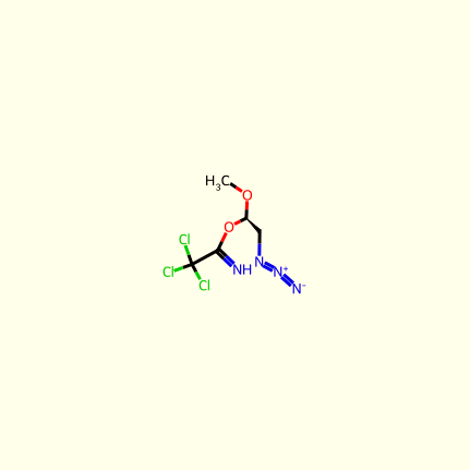 CO[C@@H](CN=[N+]=[N-])OC(=N)C(Cl)(Cl)Cl